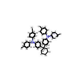 C=C(C)/C=C\C(=C/C)N(c1ccc(C)cc1)c1ccc(C2(c3ccc(N(c4ccc(C)cc4)c4ccc(C)cc4)cc3)CCCCC2)cc1